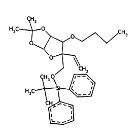 C=CC1(CO[Si](c2ccccc2)(c2ccccc2)C(C)(C)C)OC2OC(C)(C)OC2C1OCCCC